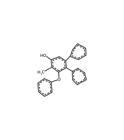 Cc1c(O)cc(-c2ccccc2)c(-c2ccccc2)c1Oc1ccccc1